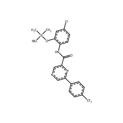 CC(C)(C)[Si](C)(C)Oc1cc(Cl)ccc1NC(=O)c1cncc(-c2ccc(C(F)(F)F)cc2)n1